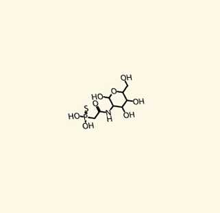 O=C(CP(O)(O)=S)NC1C(O)OC(CO)C(O)C1O